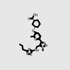 CCCc1nsc(NCc2c(-c3ccc(O[C@H]4CCC[C@H](C(=O)O)C4)c(C)n3)nnn2C)n1